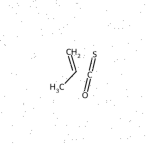 C=CC.O=C=S